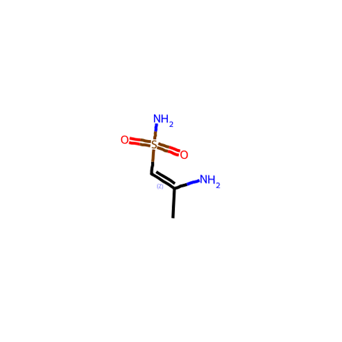 C/C(N)=C/S(N)(=O)=O